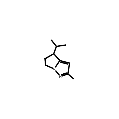 Cc1cc2n(n1)CCC2C(C)C